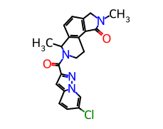 CC1c2ccc3c(c2CCN1C(=O)c1cc2ccc(Cl)cn2n1)C(=O)N(C)C3